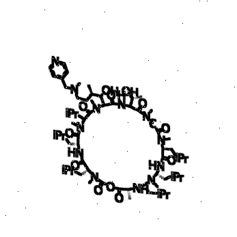 CC(C)C[C@@H]1C(=O)N[C@H](CC(C)C)C(=O)N(C)C(C(C)C)C(=O)N(C)C([C@H](O)[C@H](C)CCN(C)Cc2ccncc2)C(=O)NC([C@@H](C)O)C(=O)N(C)CC(=O)N(C)[C@@H](CC(C)C)C(=O)N[C@H](CC(C)C)N(C)[C@H](CC(C)C)N[C@H](C)C(=O)OC(=O)N1C